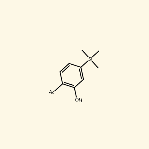 CC(=O)c1ccc([Si](C)(C)C)cc1O